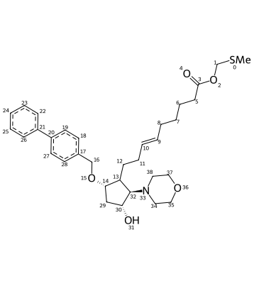 CSCOC(=O)CCCCC=CCCC1[C@@H](OCc2ccc(-c3ccccc3)cc2)C[C@@H](O)[C@@H]1N1CCOCC1